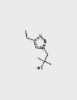 CCc1cn(CC(C)(C)O)cn1